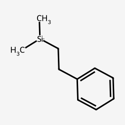 C[Si](C)CCc1ccccc1